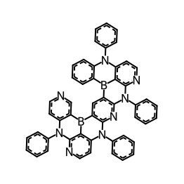 c1ccc(N2c3ccccc3B3c4cc5c(nc4N(c4ccccc4)c4nccc2c43)N(c2ccccc2)c2ccnc3c2B5c2cnccc2N3c2ccccc2)cc1